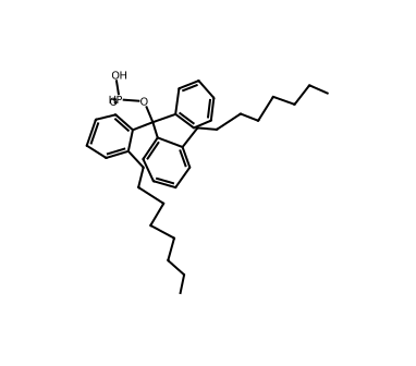 CCCCCCCCc1ccccc1C(O[PH](=O)O)(c1ccccc1)c1ccccc1CCCCCCCC